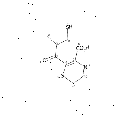 CC(CS)C(=O)C1=C(C(=O)O)N=CCS1